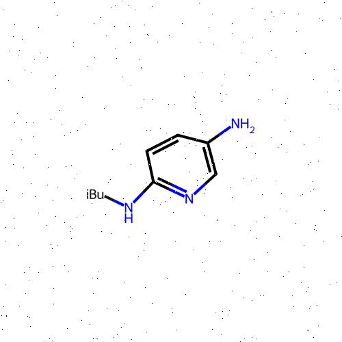 CCC(C)Nc1ccc(N)cn1